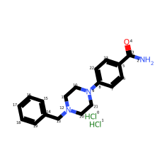 Cl.Cl.NC(=O)c1ccc(N2CCN(Cc3ccccc3)CC2)cc1